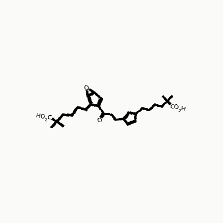 CC(C)(CCCCC1=C2OC2C=C1C(=O)CCC1=CC(CCCCC(C)(C)C(=O)O)C=C1)C(=O)O